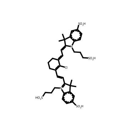 CC1(C)C(/C=C/C2=C(Cl)C(=C/C=C3\N(CCCS(=O)(=O)O)c4ccc(S(=O)(=O)O)cc4C3(C)C)/CCC2)=[N+](CCCS(=O)(=O)O)c2ccc(S(=O)(=O)O)cc21